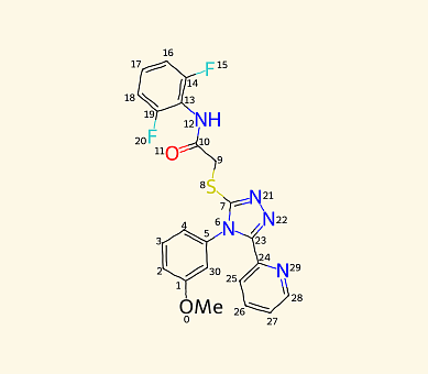 COc1cccc(-n2c(SCC(=O)Nc3c(F)cccc3F)nnc2-c2ccccn2)c1